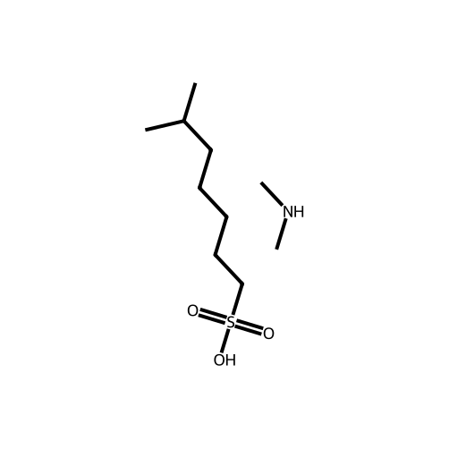 CC(C)CCCCCS(=O)(=O)O.CNC